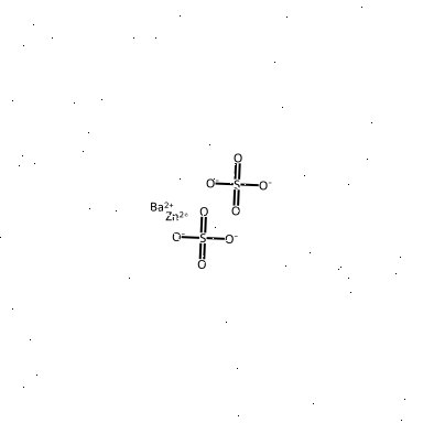 O=S(=O)([O-])[O-].O=S(=O)([O-])[O-].[Ba+2].[Zn+2]